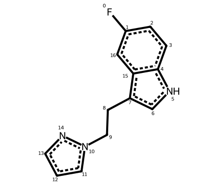 Fc1ccc2[nH]cc(CCn3cccn3)c2c1